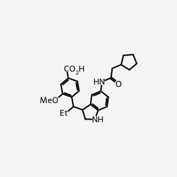 CCC(c1ccc(C(=O)O)cc1OC)C1CNc2ccc(NC(=O)CC3CCCC3)cc21